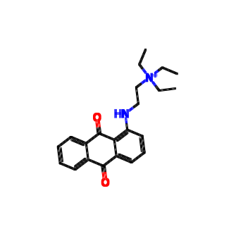 CC[N+](CC)(CC)CCNc1cccc2c1C(=O)c1ccccc1C2=O